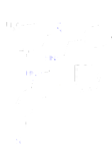 CCC(CC)NC(c1ccccc1)C(NC(=S)Nc1ccc(C#N)cc1)c1ccccc1